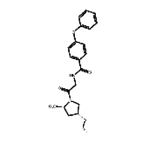 O=C(NCC(=O)N1C[C@H](OC(F)(F)F)C[C@H]1C(=O)O)c1ccc(Oc2ccccc2)cc1